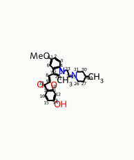 COc1ccc2c(c1)c(/C=C1\Oc3cc(O)ccc3C1=O)c(C)n2CCN1CCC(C)CC1